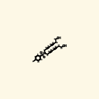 Cc1ccc(S(=O)(=O)N(CC#CC#CCCO)CC#CC#CCCO)cc1